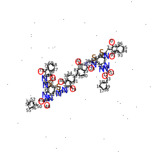 O=C1C(=Cc2nc3c4nn(C(=O)OCc5ccccc5)nc4c4nc(/C=C5\C(=O)c6ccc(-c7ccc8c(=O)/c(=N\c9nc%10c%11nn(C(=O)OCc%12ccccc%12)nc%11c%11nc(N=c%12c(=O)c%13ccccc%13c%12=O)sc%11c%10s9)c(=O)c8c7)cc6C5=O)sc4c3s2)C(=O)c2ccccc21